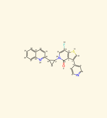 O=c1c2c(-c3ccncc3)csc2c(F)cn1C1CC1c1ccc2ccccc2n1